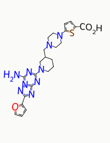 Nc1nc(N2CCCC(CN3CCN(c4ccc(C(=O)O)s4)CC3)C2)nc2nc(-c3ccco3)nn12